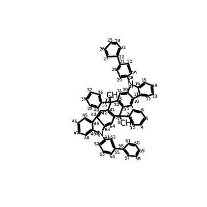 CC1(c2ccccc2)c2cc3c4ccccc4n(-c4ccc(-c5ccccc5)cc4)c3cc2C(C)(c2ccccc2)c2cc3c4ccccc4n(-c4cccc(-c5ccccc5)c4)c3cc21